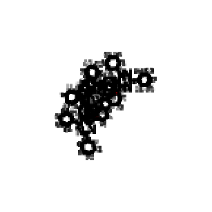 C1=CCC2C(=C1)c1ccc3c4ccccc4n(-c4ccccc4)c3c1N2C1(n2c3ccccc3c3ccc4c5ccccc5n(-c5ccccc5)c4c32)c2cc(-c3nc(-c4ccccc4)nc(-c4ccccc4)n3)ccc2-c2ccc(-c3nc(-c4ccccc4)nc(-c4ccccc4)n3)cc21